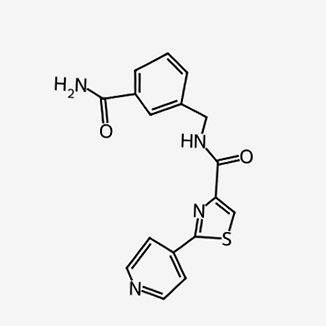 NC(=O)c1cccc(CNC(=O)c2csc(-c3ccncc3)n2)c1